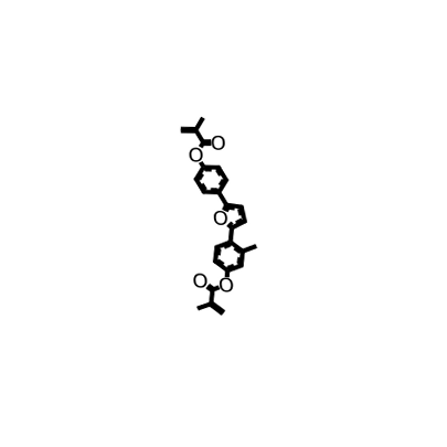 C=C(C)C(=O)Oc1ccc(-c2ccc(-c3ccc(OC(=O)C(=C)C)cc3C)o2)cc1